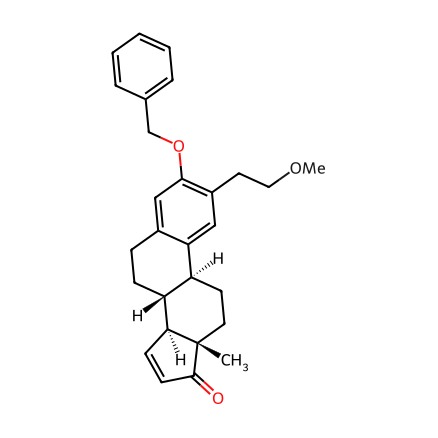 COCCc1cc2c(cc1OCc1ccccc1)CC[C@@H]1[C@@H]2CC[C@]2(C)C(=O)C=C[C@@H]12